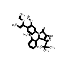 C=CO/C(=C\N)c1ccc(N2C(=O)c3[nH]nc(C(C)(C)C)c3C2c2ccccc2OC)cc1OC